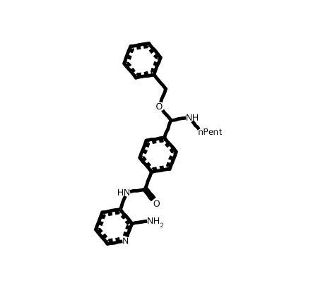 CCCCCNC(OCc1ccccc1)c1ccc(C(=O)Nc2cccnc2N)cc1